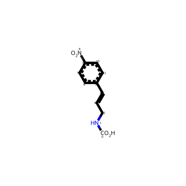 O=C(O)N[CH]/C=C/c1ccc([N+](=O)[O-])cc1